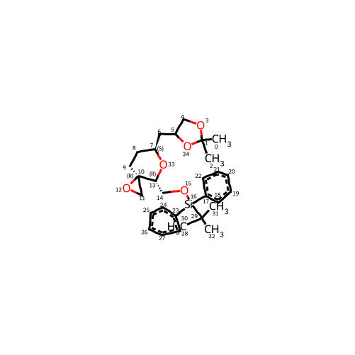 CC1(C)OCC(C[C@@H]2CC[C@@]3(CO3)[C@@H](CO[Si](c3ccccc3)(c3ccccc3)C(C)(C)C)O2)O1